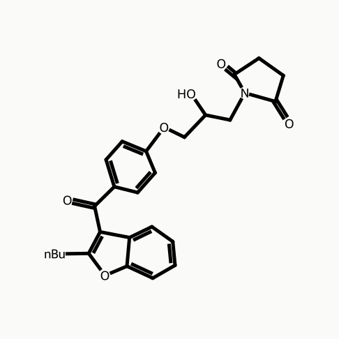 CCCCc1oc2ccccc2c1C(=O)c1ccc(OCC(O)CN2C(=O)CCC2=O)cc1